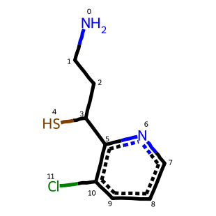 NCCC(S)c1ncccc1Cl